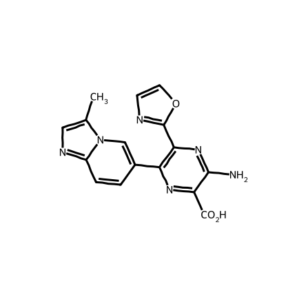 Cc1cnc2ccc(-c3nc(C(=O)O)c(N)nc3-c3ncco3)cn12